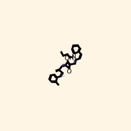 C=C(/C=C\c1ccccc1C)/C=C1\C(=O)C(/C=C2/C=Cc3ccccc3N2CCCC)=C1O